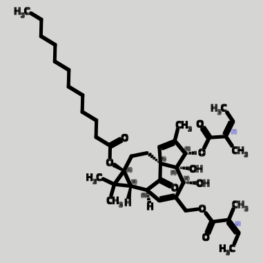 C/C=C(/C)C(=O)OCC1=C[C@@H]2C(=O)[C@]3(C=C(C)[C@H](OC(=O)/C(C)=C\C)[C@@]3(O)[C@@H]1O)CC[C@]1(OC(=O)CCCCCCCCCCC)[C@H]2C1(C)C